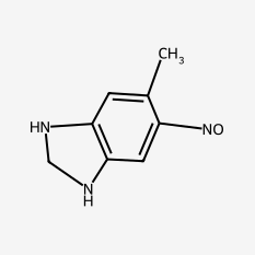 Cc1cc2c(cc1N=O)NCN2